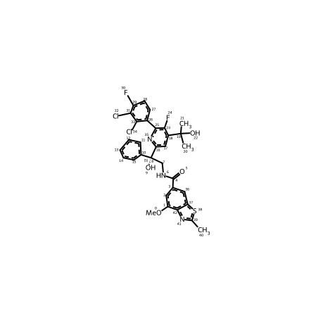 COc1cc(C(=O)NC[C@@](O)(c2ccccc2)c2cc(C(C)(C)O)c(F)c(-c3ccc(F)c(Cl)c3Cl)n2)cc2sc(C)nc12